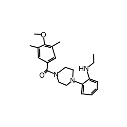 CCNc1ccccc1N1CCN(C(=O)c2cc(C)c(OC)c(C)c2)CC1